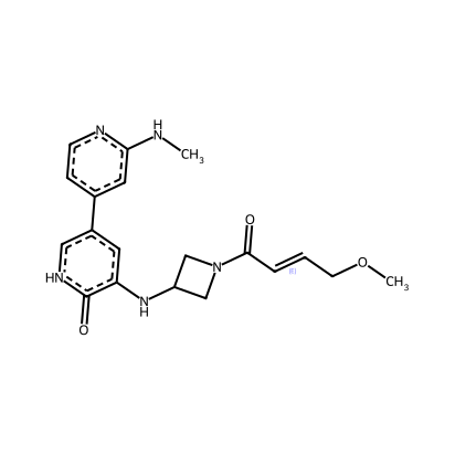 CNc1cc(-c2c[nH]c(=O)c(NC3CN(C(=O)/C=C/COC)C3)c2)ccn1